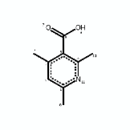 Cc1cc(C)c(C(=O)O)c(C)n1